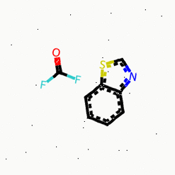 O=C(F)F.c1ccc2scnc2c1